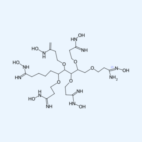 C=C(CCOC(C(CCCCC(=N)NO)OCCC(=N)NO)C(OCCC(=N)NO)C(COCC/C(N)=N/O)OCCC(=N)NO)NO